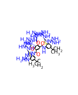 C=C(C)c1cc(NC(=N)N)c(SCCNC(=N)N)c(NC(=O)c2cc(C(=O)Nc3cc(C(=C)C)cc(NC(=N)N)c3SCCNC(=N)N)c(OCCNC(=N)N)cc2OCCNC(=N)N)c1